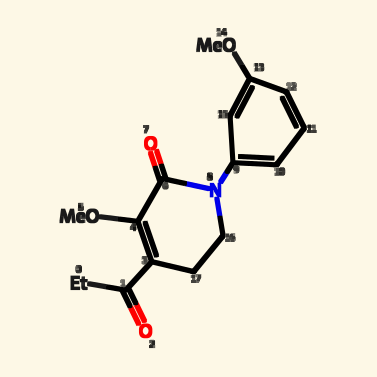 CCC(=O)C1=C(OC)C(=O)N(c2cccc(OC)c2)CC1